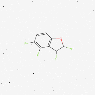 Fc1ccc2c(c1F)C(F)C(F)O2